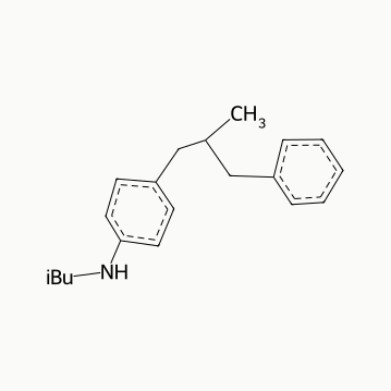 CCC(C)Nc1ccc(CC(C)Cc2ccccc2)cc1